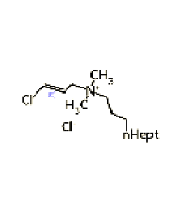 CCCCCCCCCC[N+](C)(C)C/C=C/Cl.[Cl-]